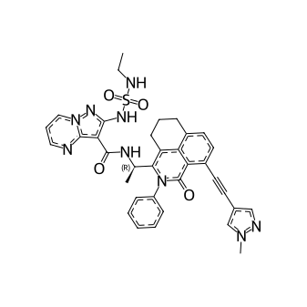 CCNS(=O)(=O)Nc1nn2cccnc2c1C(=O)N[C@H](C)c1c2c3c(ccc(C#Cc4cnn(C)c4)c3c(=O)n1-c1ccccc1)CCC2